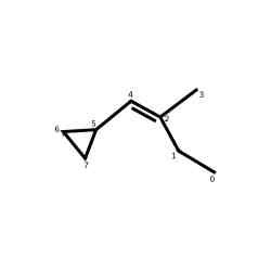 CCC(C)=CC1[CH]C1